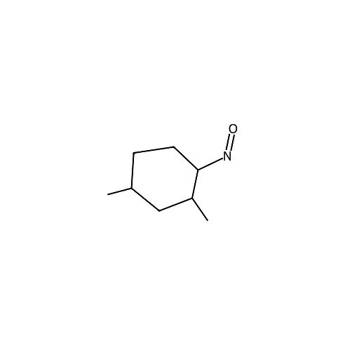 CC1CCC(N=O)C(C)C1